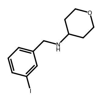 Ic1cccc(CNC2CCOCC2)c1